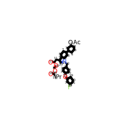 CC(=O)Oc1cccc(-c2ccc3c(CC(=O)OCOC(=O)C(C)C)cn(Cc4ccc(Oc5cccc(F)c5)cc4)c3c2)c1